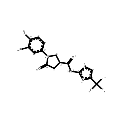 O=C(Nc1ncc(C(F)(F)F)s1)C1CC(=O)N(c2ccc(F)c(F)c2)C1